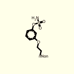 CCCCCCCCCCCOc1cccc(OS(N)(=O)=O)c1